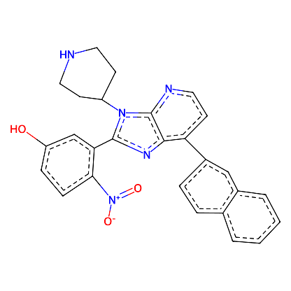 O=[N+]([O-])c1ccc(O)cc1-c1nc2c(-c3ccc4ccccc4c3)ccnc2n1C1CCNCC1